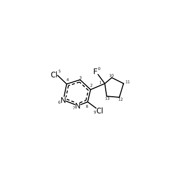 FC1(c2cc(Cl)nnc2Cl)CCCC1